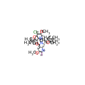 COc1cc(C(=O)N(C)CCO[Si](C)(C)C(C)(C)C)cnc1I.COc1cnc2c[c]([Sn]([CH3])([CH3])[CH3])oc2c1Cl